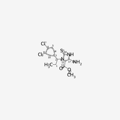 CCC(c1ccc(Cl)c(Cl)c1)n1c(C(=O)OC)c(N)[nH]c1=S